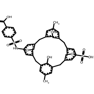 Cc1cc2c(O)c(c1)Cc1cc(S(=O)(=O)O)cc(c1O)Cc1cc(C)cc(c1O)Cc1cc(NS(=O)(=O)c3ccc(C(=O)O)cc3)cc(c1O)C2